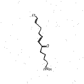 CC/C=C/CC/C=C/C(=O)CCCCCCCCCCCCC